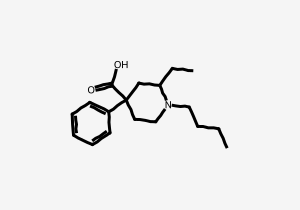 CCCCN1CCC(C(=O)O)(c2ccccc2)CC1CC